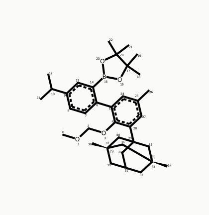 COCOc1c(-c2ccc(C(C)C)cc2B2OC(C)(C)C(C)(C)O2)cc(C)cc1C12CC3C[C@@](C)(C1)C[C@](C)(C3)C2